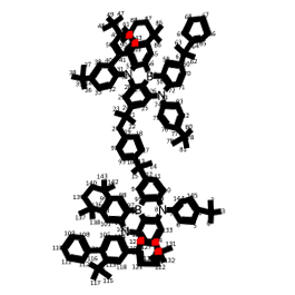 CC(C)(C)c1ccc(N2c3ccc(C(C)(C)c4ccc(CC(C)(C)c5cc6c7c(c5)N(c5ccc(C(C)(C)C)cc5-c5cccc(C(C)(C)C)c5)c5cc8c(cc5B7c5cc(C(C)(C)c7ccccc7)ccc5N6c5ccc(C(C)(C)C)cc5)C(C)(C)CCC8(C)C)cc4)cc3B3c4cc5c(cc4N(c4cc(-c6ccccc6)c(C(C)(C)C)cc4-c4ccccc4)c4cc(C(C)(C)C)cc2c43)C(C)(C)CCC5(C)C)cc1